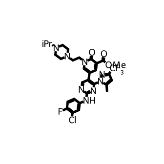 COC(=O)c1cc(-c2cnc(Nc3ccc(F)c(Cl)c3)nc2-n2nc(C(F)(F)F)cc2C)cn(CCN2CCN(C(C)C)CC2)c1=O